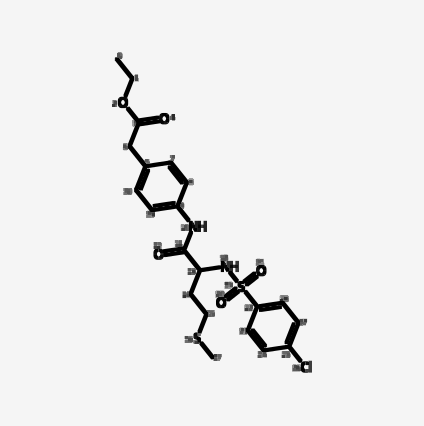 CCOC(=O)Cc1ccc(NC(=O)C(CCSC)NS(=O)(=O)c2ccc(Cl)cc2)cc1